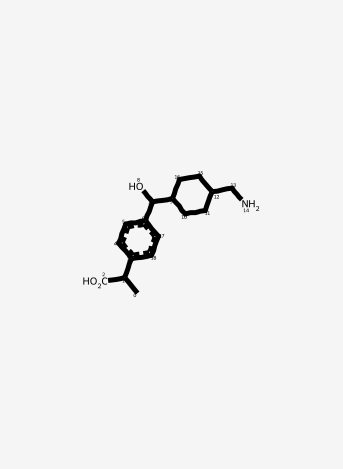 CC(C(=O)O)c1ccc(C(O)C2CCC(CN)CC2)cc1